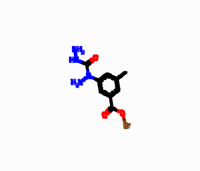 Cc1cc(C(=O)OBr)cc(N(N)C(=O)NN)c1